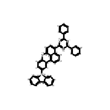 c1ccc(-c2nc(-c3ccccc3)nc(-c3ccc4c5c(cccc35)-c3cc(-n5c6ccccc6c6ccccc65)ccc3S4)n2)cc1